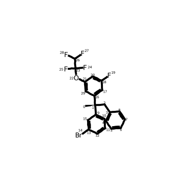 C[C@@](Cc1ccccc1)(c1cccc(Br)c1)c1cc(F)cc(OC(F)(F)C(F)F)c1